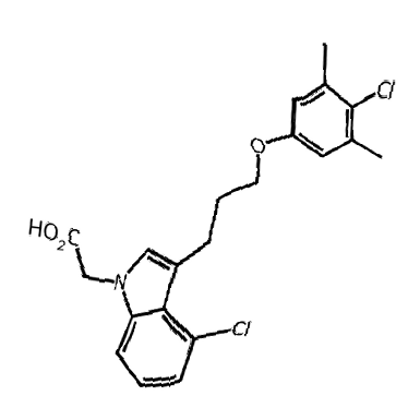 Cc1cc(OCCCc2cn(CC(=O)O)c3cccc(Cl)c23)cc(C)c1Cl